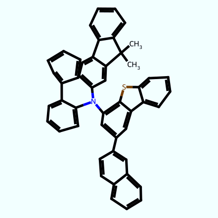 CC1(C)c2ccccc2-c2ccc(N(c3ccccc3-c3ccccc3)c3cc(-c4ccc5ccccc5c4)cc4c3sc3ccccc34)cc21